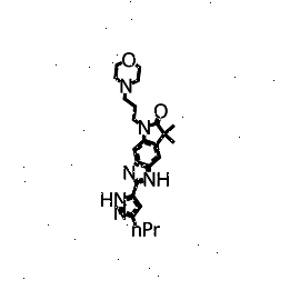 CCCc1cc(-c2nc3cc4c(cc3[nH]2)C(C)(C)C(=O)N4CCCN2CCOCC2)[nH]n1